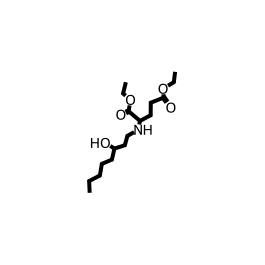 CCCCCC(O)CCNC(CCC(=O)OCC)C(=O)OCC